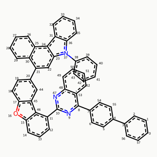 c1ccc(-c2ccc(-c3nc(-c4cccc5oc6ccc(-c7cc8c(c9ccccc79)c7ccccc7n8-c7ccccc7)cc6c45)nc4ccccc34)cc2)cc1